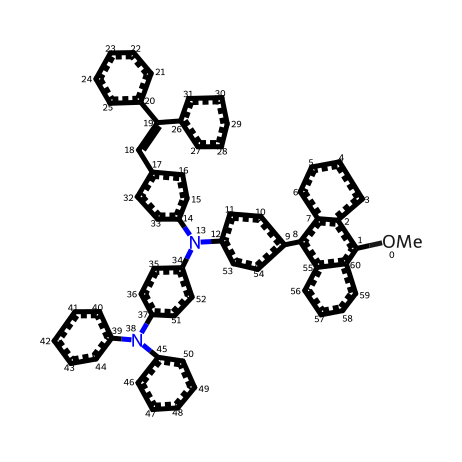 COc1c2ccccc2c(-c2ccc(N(c3ccc(C=C(c4ccccc4)c4ccccc4)cc3)c3ccc(N(c4ccccc4)c4ccccc4)cc3)cc2)c2ccccc12